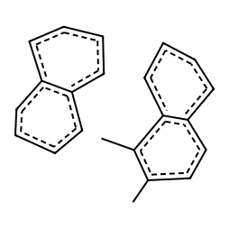 Cc1ccc2ccccc2c1C.c1ccc2ccccc2c1